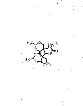 CCC1(C(O[PH](=O)OC)C2(CC)COP(C)OC2=O)COP(C)OC1=O